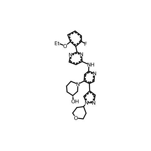 CCOc1cccc(F)c1-c1nccc(Nc2cc(N3CCC[C@H](O)C3)c(-c3cnn(C4CCOCC4)c3)cn2)n1